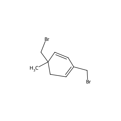 CC1(CBr)C=CC(CBr)=CC1